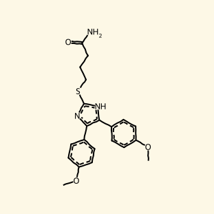 COc1ccc(-c2nc(SCCCC(N)=O)[nH]c2-c2ccc(OC)cc2)cc1